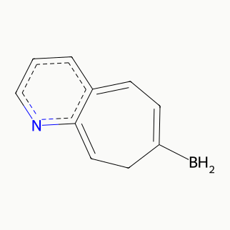 BC1=CC=c2cccnc2=CC1